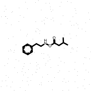 CC(C)CC(=O)ONCCc1ccccc1